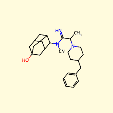 CC(C(=N)N(C#N)C1C2CC3CC1CC(O)(C3)C2)N1CCC(Cc2ccccc2)CC1